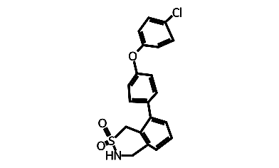 O=S1(=O)Cc2c(cccc2-c2ccc(Oc3ccc(Cl)cc3)cc2)CN1